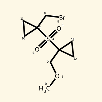 COCC1(S(=O)(=O)C2(CBr)CC2)CC1